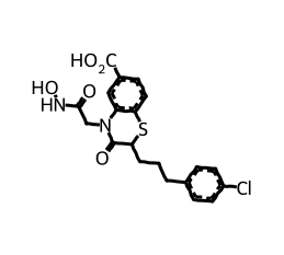 O=C(CN1C(=O)C(CCCc2ccc(Cl)cc2)Sc2ccc(C(=O)O)cc21)NO